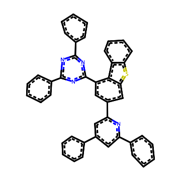 c1ccc(-c2cc(-c3ccccc3)nc(-c3cc(-c4nc(-c5ccccc5)nc(-c5ccccc5)n4)c4c(c3)sc3ccccc34)c2)cc1